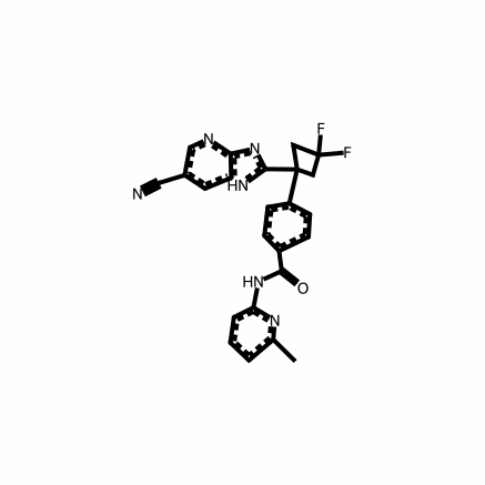 Cc1cccc(NC(=O)c2ccc(C3(c4nc5ncc(C#N)cc5[nH]4)CC(F)(F)C3)cc2)n1